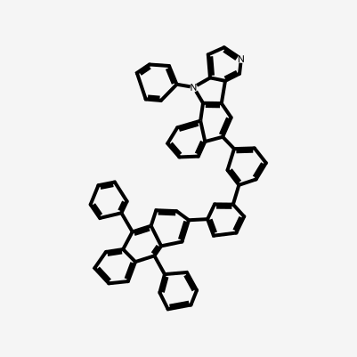 c1ccc(-c2c3ccccc3c(-c3ccccc3)c3cc(-c4cccc(-c5cccc(-c6cc7c8cnccc8n(-c8ccccc8)c7c7ccccc67)c5)c4)ccc23)cc1